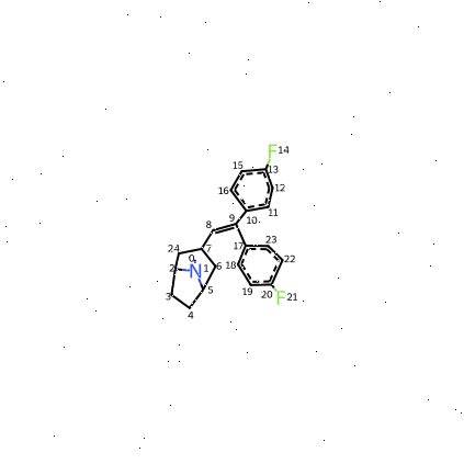 CN1C2CCC1CC(C=C(c1ccc(F)cc1)c1ccc(F)cc1)C2